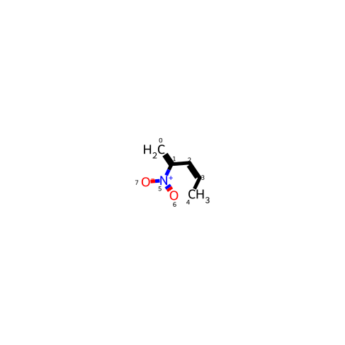 C=C(/C=C\C)[N+](=O)[O-]